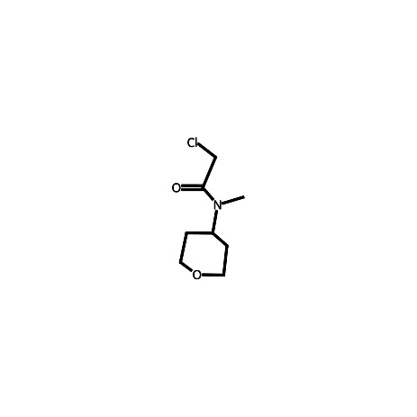 CN(C(=O)CCl)C1CCOCC1